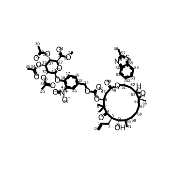 C=CC[C@H]1C(=O)C(C)(C)[C@@H](OC(=O)OCc2ccc(O[C@@H]3O[C@H](C(=O)OC)[C@@H](OC(C)=O)[C@H](OC(C)=O)[C@H]3OC(C)=O)c([N+](=O)[O-])c2)CC(=O)O[C@H](c2ccc3sc(C)nc3c2)C[C@@H]2O[C@]2(C)CCCC(C)[C@@H]1O